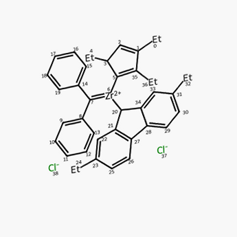 CCC1=CC(CC)[C]([Zr+2](=[C](c2ccccc2)c2ccccc2)[CH]2c3cc(CC)ccc3-c3ccc(CC)cc32)=C1CC.[Cl-].[Cl-]